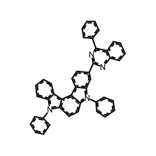 c1ccc(-c2nc(-c3ccc4c5c6c7ccccc7n(-c7ccccc7)c6ccc5n(-c5ccccc5)c4c3)nc3ccccc23)cc1